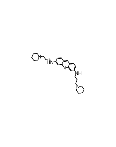 c1cc2cc3ccc(NCCCN4CCCCC4)cc3nc2cc1NCCCN1CCCCC1